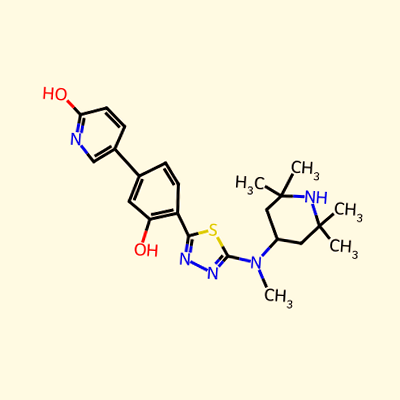 CN(c1nnc(-c2ccc(-c3ccc(O)nc3)cc2O)s1)C1CC(C)(C)NC(C)(C)C1